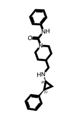 O=C(Nc1ccccc1)N1CCC(CN[C@@H]2C[C@H]2c2ccccc2)CC1